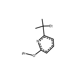 CCC(C)(C)c1cccc(OC(C)C)n1